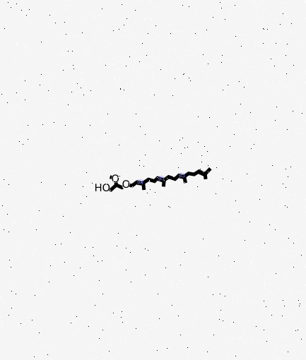 COC(CO)COC/C=C(\C)CC/C=C(\C)CC/C=C(\C)CCC=C(C)C